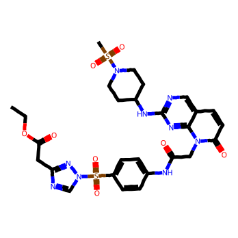 CCOC(=O)Cc1ncn(S(=O)(=O)c2ccc(NC(=O)Cn3c(=O)ccc4cnc(NC5CCN(S(C)(=O)=O)CC5)nc43)cc2)n1